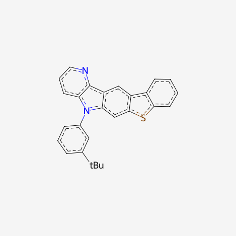 CC(C)(C)c1cccc(-n2c3cc4sc5ccccc5c4cc3c3ncccc32)c1